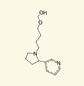 OCOCCCCN1CCCC1c1cccnc1